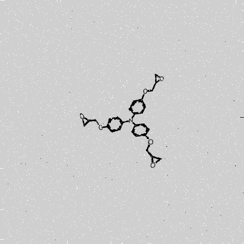 c1cc(N(c2ccc(OCC3CO3)cc2)c2ccc(OCC3CO3)cc2)ccc1OCC1CO1